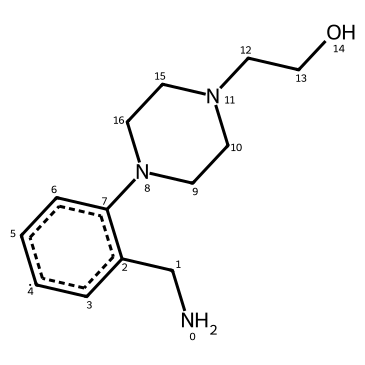 NCc1c[c]ccc1N1CCN(CCO)CC1